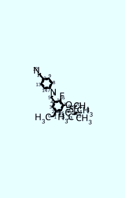 CCc1cc(C=Nc2ccc(C#N)cc2)c(F)c(O[Si](C)(C)C(C)(C)C)c1